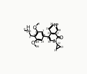 CNCc1c(OC)cc(-c2cn(C3CC3)c(=O)c3cnccc23)cc1OC